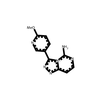 COc1ccc(-c2nnc3ccnc(N)n23)cn1